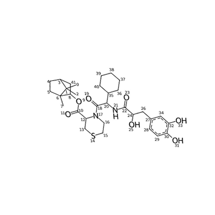 CC1(C)C2CCC1(C)C(OC(=O)C1CSCCN1C(=O)C(NC(=O)C(O)Cc1ccc(O)c(O)c1)C1CCCCC1)C2